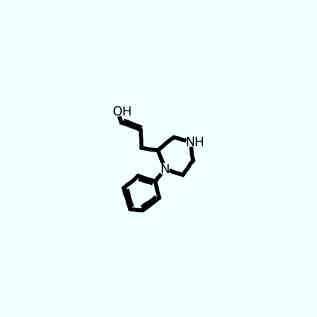 OC=CCC1CNCCN1c1ccccc1